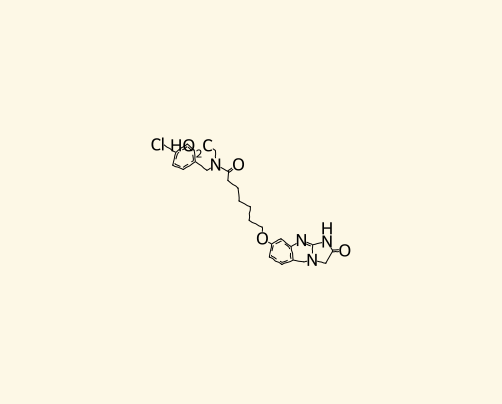 O=C(O)CN(Cc1ccc(Cl)cc1)C(=O)CCCCCCOc1ccc2c(c1)N=C1NC(=O)CN1C2